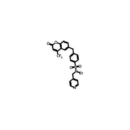 CCN(Cc1ccncc1)S(=O)(=O)c1ccc(Cc2ccc3oc(=O)cc(C(F)(F)F)c3c2)cc1